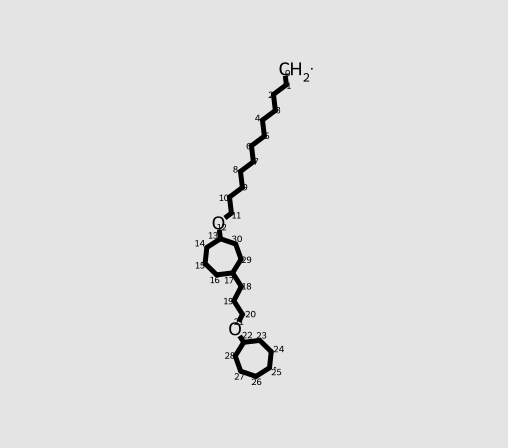 [CH2]CCCCCCCCCCCOC1CCCC(CCCOC2CC[CH]CCC2)CC1